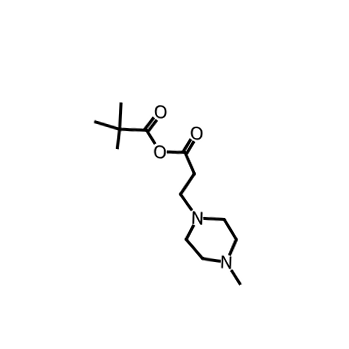 CN1CCN(CCC(=O)OC(=O)C(C)(C)C)CC1